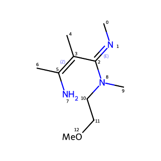 C/N=C(\C(C)=C(\C)N)N(C)CCOC